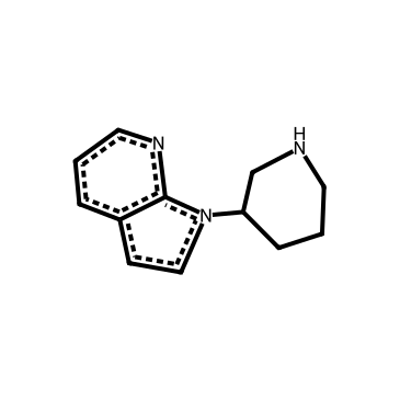 c1cnc2c(c1)ccn2C1CCCNC1